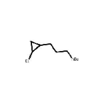 CCCCCCCC1CC1CC